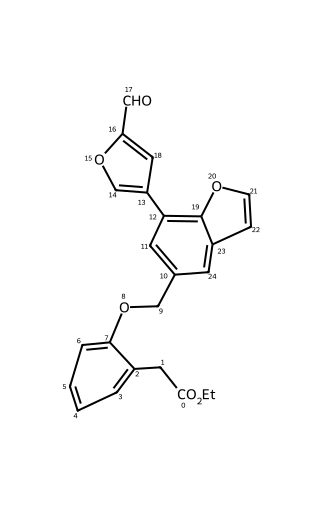 CCOC(=O)Cc1ccccc1OCc1cc(-c2coc(C=O)c2)c2occc2c1